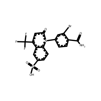 NC(=O)c1ccc(-n2c(=O)cc(C(F)(F)F)c3cc(S(=O)(=O)O)ccc32)cc1Br